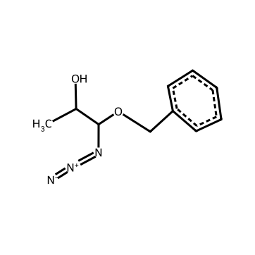 CC(O)C(N=[N+]=[N-])OCc1ccccc1